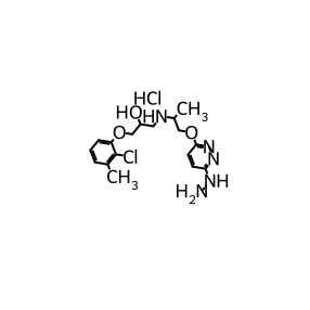 Cc1cccc(OCC(O)CNC(C)COc2ccc(NN)nn2)c1Cl.Cl